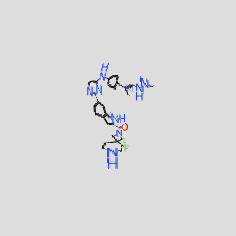 C=NN/C=C(\C)c1ccc(Nc2ccnc(-c3ccc4cc(C(=O)N5CC6(CCNCC6(F)F)C5)[nH]c4c3)n2)cc1